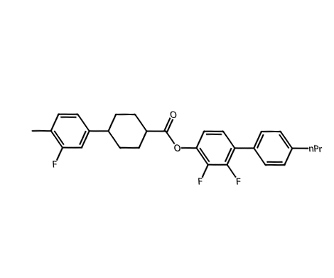 CCCc1ccc(-c2ccc(OC(=O)C3CCC(c4ccc(C)c(F)c4)CC3)c(F)c2F)cc1